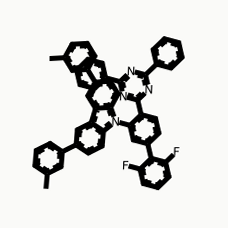 Cc1cccc(-c2ccc3c(c2)c2cc(-c4cccc(C)c4)ccc2n3-c2cc(-c3c(F)cccc3F)ccc2-c2nc(-c3ccccc3)nc(-c3ccccc3)n2)c1